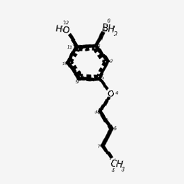 Bc1cc(OCCCC)ccc1O